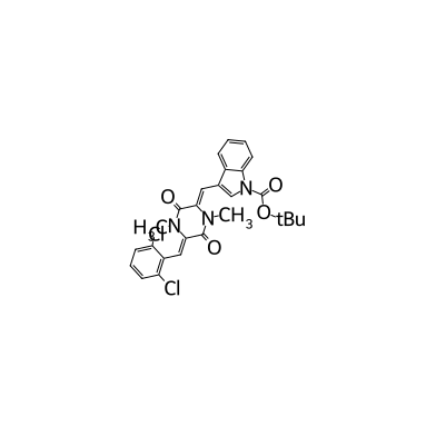 Cn1c(=O)/c(=C/c2cn(C(=O)OC(C)(C)C)c3ccccc23)n(C)c(=O)/c1=C/c1c(Cl)cccc1Cl